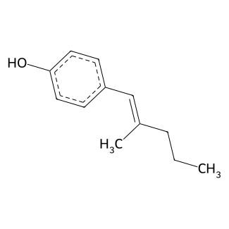 CCC/C(C)=C/c1ccc(O)cc1